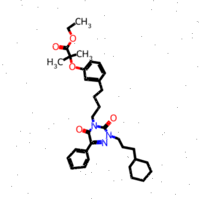 CCOC(=O)C(C)(C)Oc1cccc(CCCCn2c(=O)c(-c3ccccc3)nn(CCCC3CCCCC3)c2=O)c1